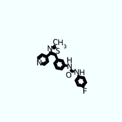 Cc1nc(-c2ccncc2)c(-c2cccc(NC(=O)Nc3ccc(F)cc3)c2)s1